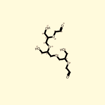 O=CCOC(CO)COCC(CO)OCC(CO)OCC=O